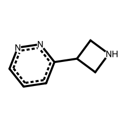 c1cnnc(C2CNC2)c1